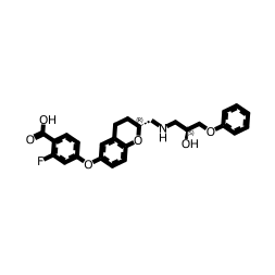 O=C(O)c1ccc(Oc2ccc3c(c2)CC[C@H](CNC[C@H](O)COc2ccccc2)O3)cc1F